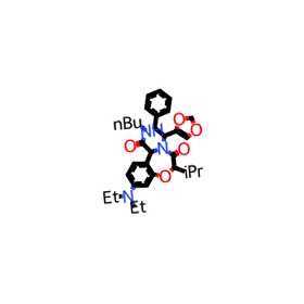 CCCCNC(=O)C1c2ccc(N(CC)CC)cc2OC(C(C)C)C(=O)N1C(Cc1ccccc1)C1=COCO1